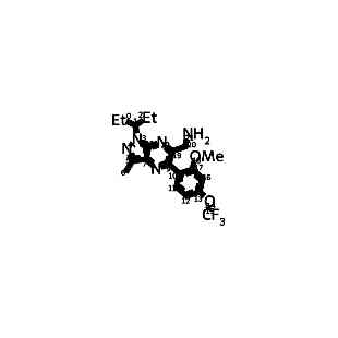 CCC(CC)n1nc(C)c2nc(-c3ccc(OC(F)(F)F)cc3OC)c(CN)nc21